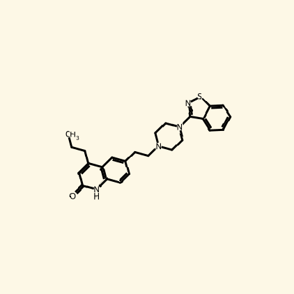 CCCc1cc(=O)[nH]c2ccc(CCN3CCN(c4nsc5ccccc45)CC3)cc12